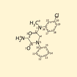 CN(C(=O)CN(C(=O)CN)c1ccccc1)c1cccc(Cl)c1